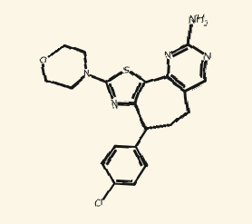 Nc1ncc2c(n1)-c1sc(N3CCOCC3)nc1C(c1ccc(Cl)cc1)CC2